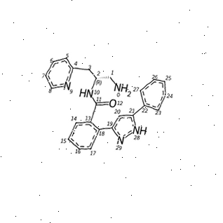 NC[C@@H](Cc1ccccn1)NC(=O)c1ccccc1-c1cc(-c2ccccc2)[nH]n1